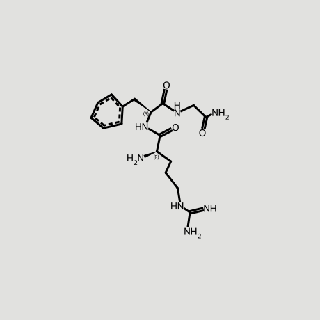 N=C(N)NCCC[C@@H](N)C(=O)N[C@@H](Cc1ccccc1)C(=O)NCC(N)=O